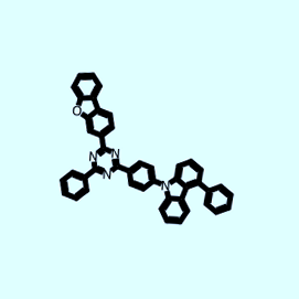 c1ccc(-c2nc(-c3ccc(-n4c5ccccc5c5c(-c6ccccc6)cccc54)cc3)nc(-c3ccc4c(c3)oc3ccccc34)n2)cc1